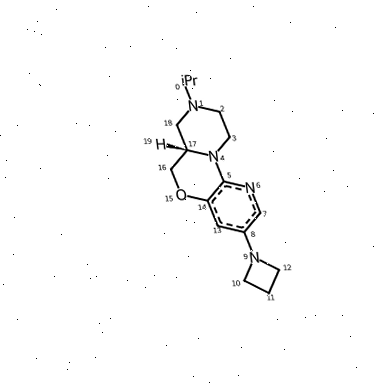 CC(C)N1CCN2c3ncc(N4CCC4)cc3OC[C@@H]2C1